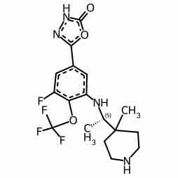 C[C@H](Nc1cc(-c2n[nH]c(=O)o2)cc(F)c1OC(F)(F)F)C1(C)CCNCC1